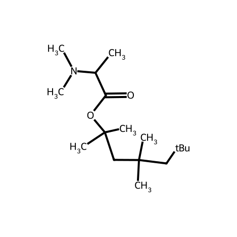 CC(C(=O)OC(C)(C)CC(C)(C)CC(C)(C)C)N(C)C